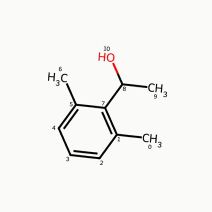 Cc1cccc(C)c1C(C)O